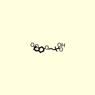 CC(C)(CCCOc1ccc2ccc(=O)oc2c1)C(=O)O